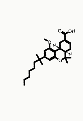 CCCCCCC(C)(C)c1cc(OC)c2c(c1)OC(C)(C)[C@@H]1CC=C(C(=O)O)C[C@@H]21